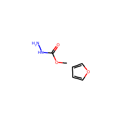 COC(=O)NN.c1ccoc1